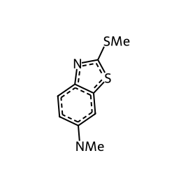 CNc1ccc2nc(SC)sc2c1